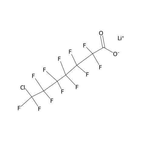 O=C([O-])C(F)(F)C(F)(F)C(F)(F)C(F)(F)C(F)(F)C(F)(F)Cl.[Li+]